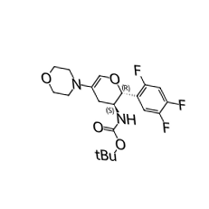 CC(C)(C)OC(=O)N[C@H]1CC(N2CCOCC2)=CO[C@@H]1c1cc(F)c(F)cc1F